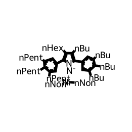 CCCCCCC1=C(c2cc(CCCCC)c(CCCCC)c(CCCCC)c2)[N+](=[N-])C(c2cc(CCCC)c(CCCC)c(CCCC)c2)=C1CCCC.CCCCCCCC[CH2][Ni][CH2]CCCCCCCC